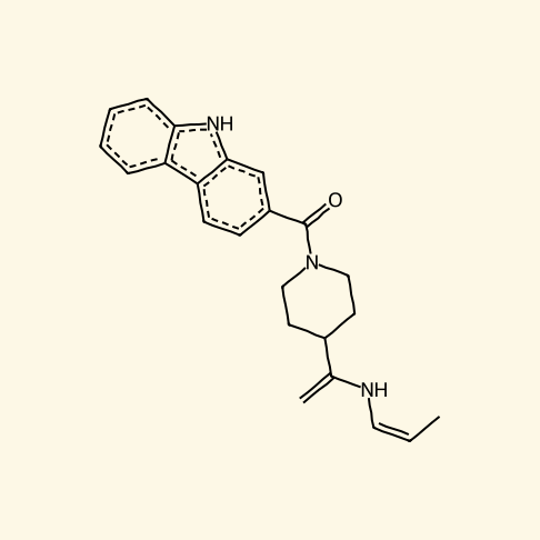 C=C(N/C=C\C)C1CCN(C(=O)c2ccc3c(c2)[nH]c2ccccc23)CC1